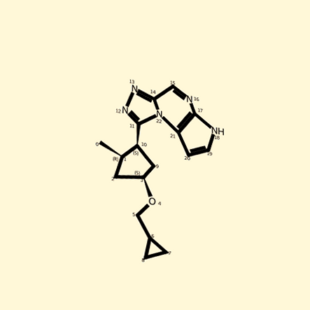 C[C@@H]1C[C@H](OCC2CC2)C[C@@H]1c1nnc2cnc3[nH]ccc3n12